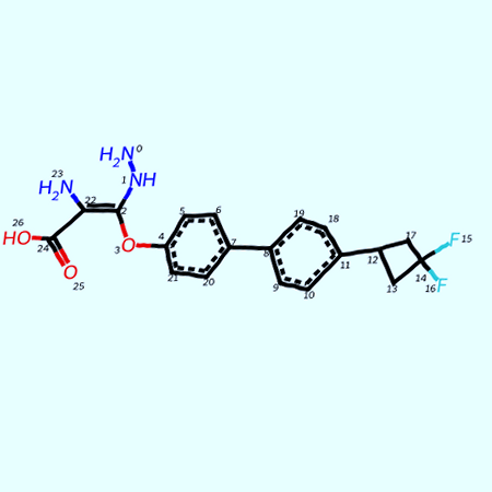 NN/C(Oc1ccc(-c2ccc(C3CC(F)(F)C3)cc2)cc1)=C(\N)C(=O)O